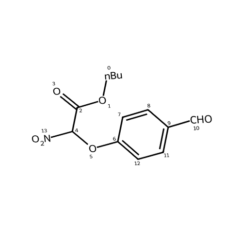 CCCCOC(=O)C(Oc1ccc(C=O)cc1)[N+](=O)[O-]